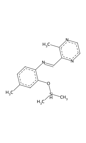 Cc1ccc(N=Cc2nccnc2C)c(O[SiH](C)C)c1